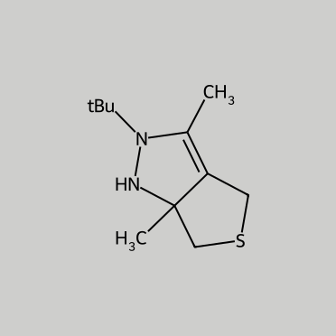 CC1=C2CSCC2(C)NN1C(C)(C)C